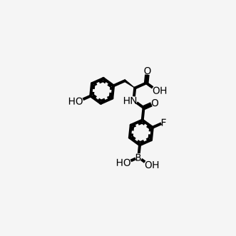 O=C(N[C@@H](Cc1ccc(O)cc1)C(=O)O)c1ccc(B(O)O)cc1F